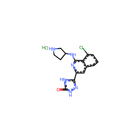 Cl.O=c1[nH]nc(-c2cc3cccc(Cl)c3c(NC3CCNC3)n2)[nH]1